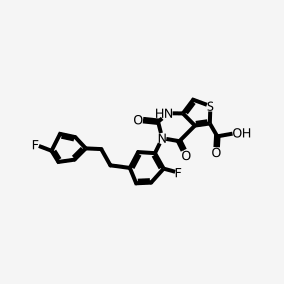 O=C(O)c1scc2[nH]c(=O)n(-c3cc(CCc4ccc(F)cc4)ccc3F)c(=O)c12